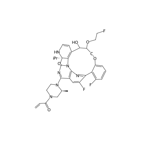 C=CC(=O)N1CCN(c2nc(=O)n3c4nc(c(F)cc24)-c2c(F)cccc2OCC(OCCF)C(O)C2=C3[C@](C)(C(C)C)NC=C2)[C@@H](C)C1